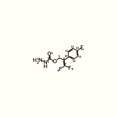 NNC(=O)OCC(=C(F)F)c1ccc(F)cc1